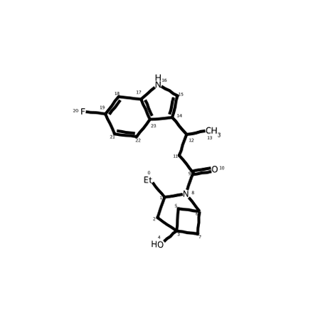 CCC1CC2(O)CC(C2)N1C(=O)CC(C)c1c[nH]c2cc(F)ccc12